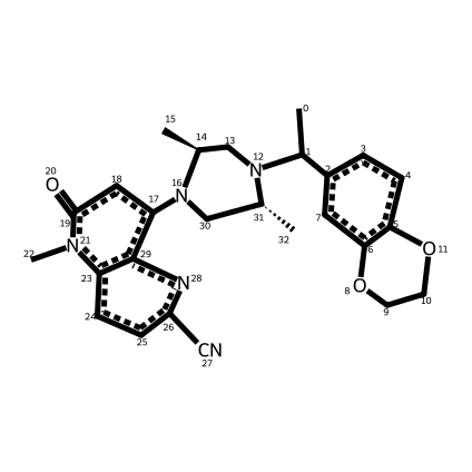 CC(c1ccc2c(c1)OCCO2)N1C[C@H](C)N(c2cc(=O)n(C)c3ccc(C#N)nc23)C[C@H]1C